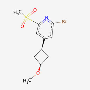 CO[C@H]1C[C@@H](c2cc(Br)nc(S(C)(=O)=O)c2)C1